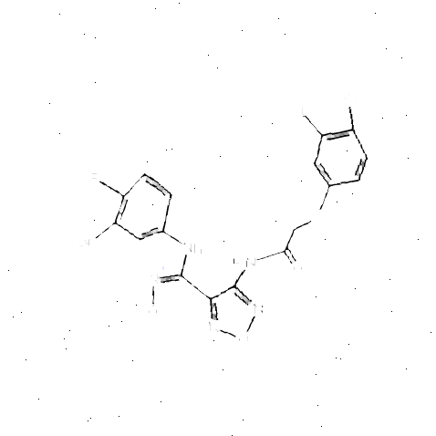 O=C(COc1ccc(Cl)c(Cl)c1)Nc1nonc1/C(=N\O)Nc1ccc(F)c(Br)c1